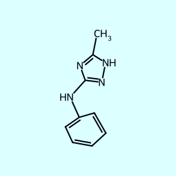 Cc1nc(Nc2ccccc2)n[nH]1